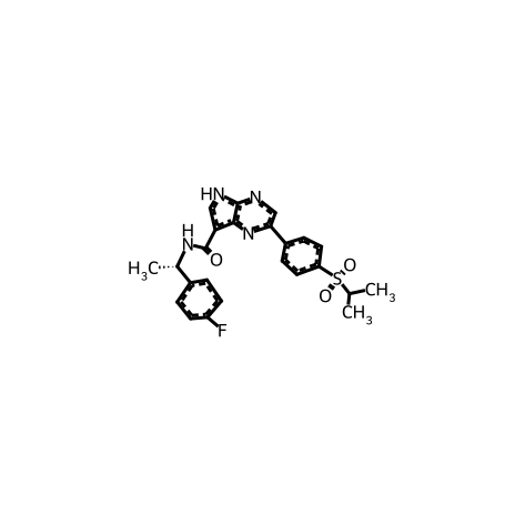 CC(C)S(=O)(=O)c1ccc(-c2cnc3[nH]cc(C(=O)N[C@@H](C)c4ccc(F)cc4)c3n2)cc1